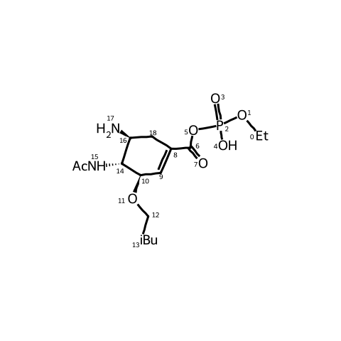 CCOP(=O)(O)OC(=O)C1=C[C@@H](OCC(C)CC)[C@H](NC(C)=O)[C@@H](N)C1